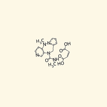 CNC(=O)N1Cc2cccn2N(C)c2ccncc21.O=C(O)/C=C\C(=O)O